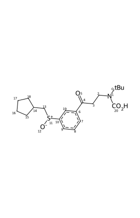 CC(C)(C)N(CCC(=O)c1cccc([S+]([O-])CC2CCCC2)c1)C(=O)O